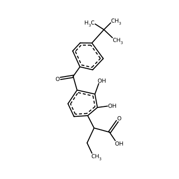 CCC(C(=O)O)c1ccc(C(=O)c2ccc(C(C)(C)C)cc2)c(O)c1O